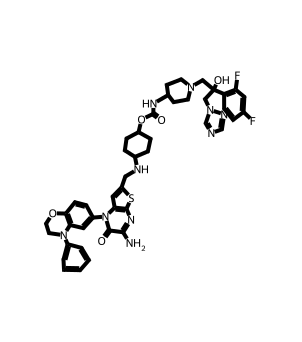 Nc1nc2sc(CNC3CCC(OC(=O)NC4CCN(CC(O)(Cn5cncn5)c5ccc(F)cc5F)CC4)CC3)cc2n(-c2ccc3c(c2)N(c2ccccc2)CCO3)c1=O